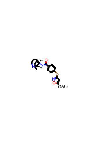 COc1cc(Sc2ccc(C(=O)N[C@@H]3C4CCN(CC4)[C@H]3C)cc2)no1